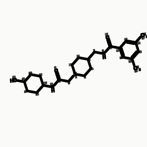 O=C(CN1CCC(CNC(=O)c2cc(C(F)(F)F)cc(C(F)(F)F)c2)CC1)NC1CCC(O)CC1